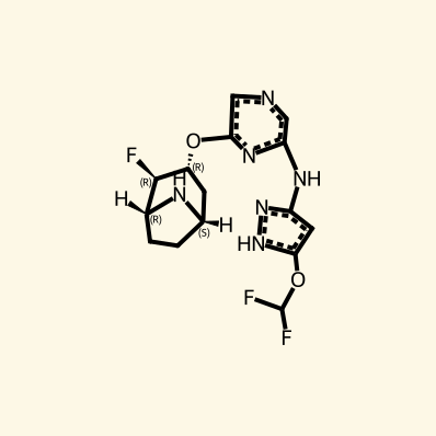 FC(F)Oc1cc(Nc2cncc(O[C@@H]3C[C@@H]4CC[C@@H](N4)[C@H]3F)n2)n[nH]1